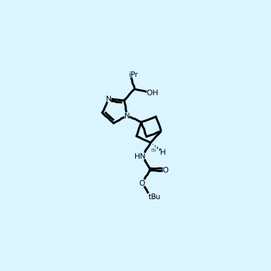 CC(C)C(O)c1nccn1C12CC(C1)[C@@H](NC(=O)OC(C)(C)C)C2